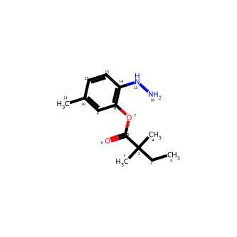 CCC(C)(C)C(=O)Oc1cc(C)ccc1NN